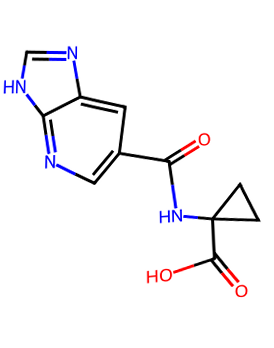 O=C(NC1(C(=O)O)CC1)c1cnc2[nH]cnc2c1